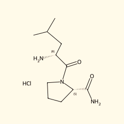 CC(C)C[C@@H](N)C(=O)N1CCC[C@H]1C(N)=O.Cl